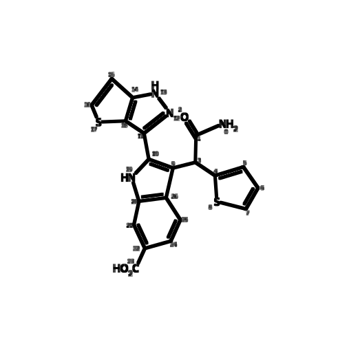 NC(=O)C(c1cccs1)c1c(-c2n[nH]c3ccsc23)[nH]c2cc(C(=O)O)ccc12